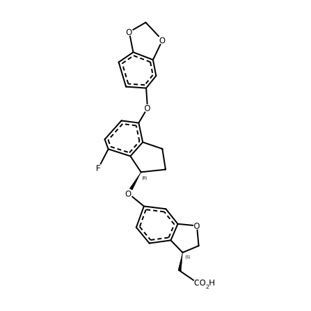 O=C(O)C[C@@H]1COc2cc(O[C@@H]3CCc4c(Oc5ccc6c(c5)OCO6)ccc(F)c43)ccc21